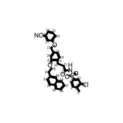 Cc1ccc(S(=O)(=O)NC(=O)CCc2ccc(COc3cccc(C#N)c3)cc2OCCc2ccc3ccccc3c2)cc1Cl